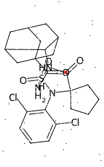 NC(=O)C12CC3CC(C1)C(NC(=O)C1(N(c4c(Cl)cccc4Cl)[SH](=O)=O)CCCC1)C(C3)C2